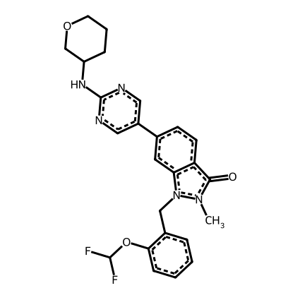 Cn1c(=O)c2ccc(-c3cnc(NC4CCCOC4)nc3)cc2n1Cc1ccccc1OC(F)F